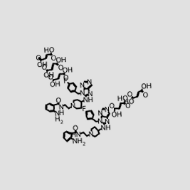 Nc1ccccc1C(=O)NCCN1CCC(Nc2nc3cncnc3n2Cc2ccc(F)cc2)CC1.Nc1ccccc1C(=O)NCCN1CCC(Nc2nc3cncnc3n2Cc2ccc(F)cc2)CC1.O=C(O)C=CC(=O)O.O=C(O)C=CC(=O)O.O=C(O)C=CC(=O)O.O=C(O)C=CC(=O)O.O=C(O)C=CC(=O)O